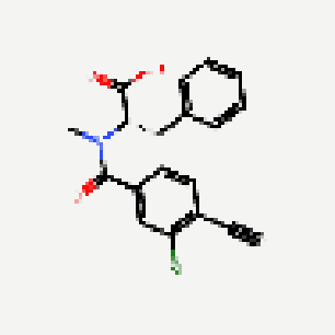 [C]#Cc1ccc(C(=O)N(C)[C@@H](Cc2ccccc2)C(=O)O)cc1Cl